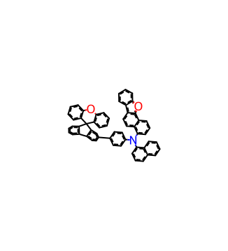 c1ccc2c(c1)Oc1ccccc1C21c2ccccc2-c2ccc(-c3ccc(N(c4cccc5ccccc45)c4cccc5c4ccc4c6ccccc6oc54)cc3)cc21